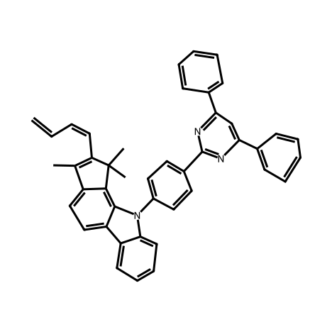 C=C/C=C\C1=C(C)c2ccc3c4ccccc4n(-c4ccc(-c5nc(-c6ccccc6)cc(-c6ccccc6)n5)cc4)c3c2C1(C)C